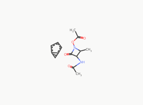 CC(=O)NC1C(=O)N(OC(C)=O)C1C.c1cc2cc-2c1